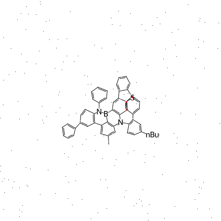 CCCCc1ccc(N2c3cc4sc5ccccc5c4cc3B3c4c(cc(C)cc42)-c2cc(-c4ccccc4)ccc2N3c2ccccc2)c(-c2ccccc2)c1